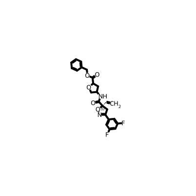 C=C[C@]1(C(=O)NC2COC(C(=O)OCc3ccccc3)C2)CC(c2cc(F)cc(F)c2)=NO1